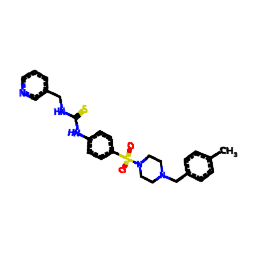 Cc1ccc(CN2CCN(S(=O)(=O)c3ccc(NC(=S)NCc4cccnc4)cc3)CC2)cc1